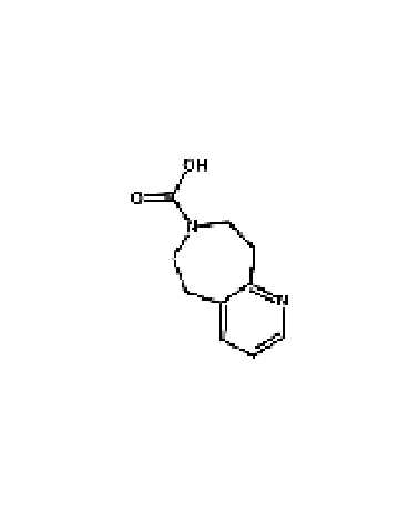 O=C(O)N1CCc2cccnc2CC1